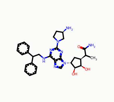 CC(C(N)=O)[C@@H]1C[C@@H](n2cnc3c(NCC(c4ccccc4)c4ccccc4)nc(N4CC[C@@H](N)C4)nc32)[C@H](O)[C@@H]1O